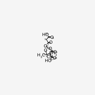 CC(C)(C)OC(OC(=O)CC(=O)O)OC(=O)CC(=O)O